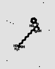 CC(O)(O)CCCCCCCCCC(=O)N(O)C(CO)Oc1ccccc1